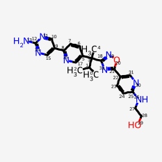 CC(C)C(C)(c1ccc(-c2cnc(N)nc2)nc1)c1noc(-c2ccc(NCCO)nc2)n1